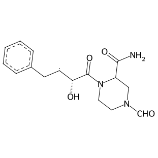 NC(=O)C1CN(C=O)CCN1C(=O)[C@H](O)[CH]Cc1ccccc1